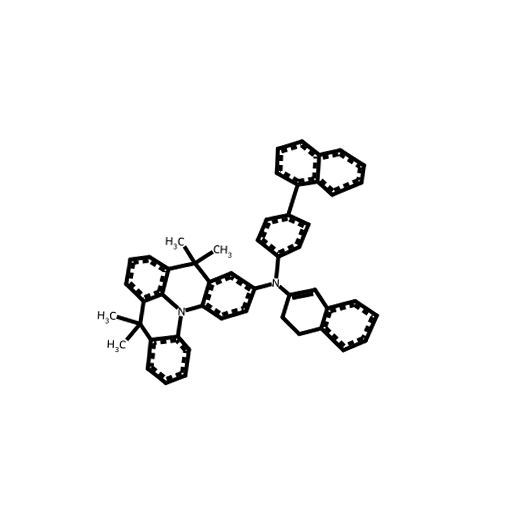 CC1(C)c2ccccc2N2c3ccc(N(C4=Cc5ccccc5CC4)c4ccc(-c5cccc6ccccc56)cc4)cc3C(C)(C)c3cccc1c32